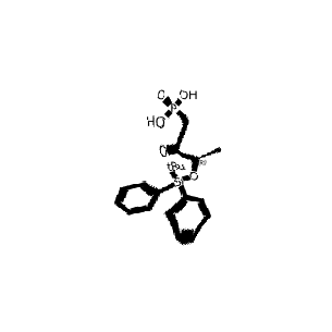 C[C@@H](O[Si](c1ccccc1)(c1ccccc1)C(C)(C)C)C(=O)CP(=O)(O)O